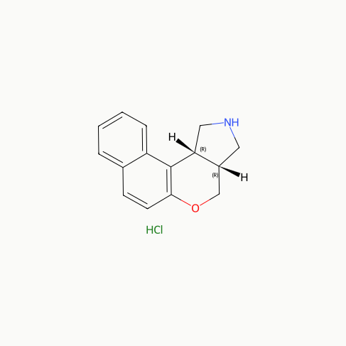 Cl.c1ccc2c3c(ccc2c1)OC[C@H]1CNC[C@@H]31